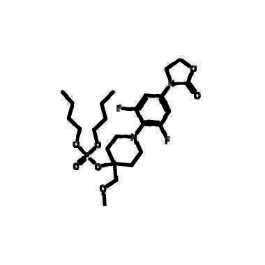 CCCCOP(=O)(OCCCC)OC1(COC)CCN(c2c(F)cc(N3CCOC3=O)cc2F)CC1